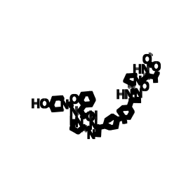 COC(=O)N[C@H](C(=O)N1CCC[C@H]1c1ncc(C2=CCC(C)(c3ccc(-c4cnc([C@@H]5CCCN5C(=O)[C@H](NC(=O)N5CCC(O)CC5)c5ccccc5)[nH]4)cc3)CC2)[nH]1)C(C)C